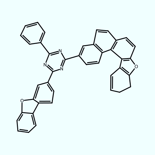 C1=Cc2c(oc3ccc4ccc5cc(-c6nc(-c7ccccc7)nc(-c7ccc8c(c7)oc7ccccc78)n6)ccc5c4c23)CC1